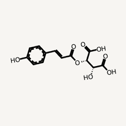 O=C(/C=C/c1ccc(O)cc1)O[C@H](C(=O)O)[C@@H](O)C(=O)O